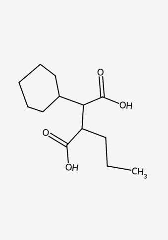 CCCC(C(=O)O)C(C(=O)O)C1CCCCC1